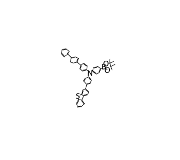 CC1(C)OB(c2ccc(N(c3ccc(C4=CC=C(c5ccccc5)CC4)cc3)c3ccc(-c4ccc5c(c4)sc4ccccc45)cc3)cc2)OC1(C)C